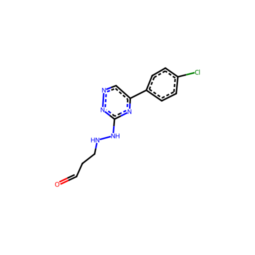 O=CCCNNc1nncc(-c2ccc(Cl)cc2)n1